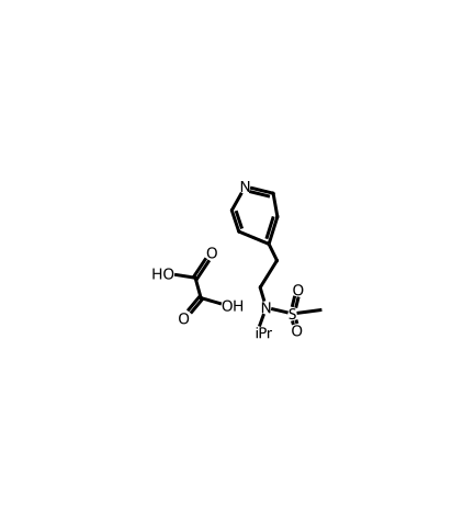 CC(C)N(CCc1ccncc1)S(C)(=O)=O.O=C(O)C(=O)O